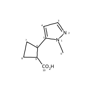 Cn1nccc1C1CCC1C(=O)O